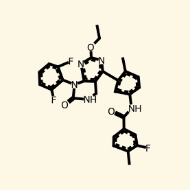 CCOc1nc(-c2cc(NC(=O)c3ccc(C)c(F)c3)ccc2C)c2c(n1)N(c1c(F)cccc1F)C(=O)NC2